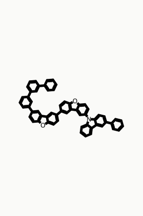 c1ccc(-c2cccc(-c3cccc(-c4ccc5oc6ccc(-c7ccc8oc9ccc(-n%10c%11ccccc%11c%11cc(-c%12ccccc%12)ccc%11%10)cc9c8c7)cc6c5c4)c3)c2)cc1